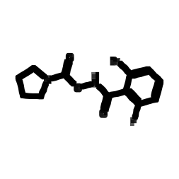 O=C(NOC(=O)N1CCCC1)c1c(F)cccc1Br